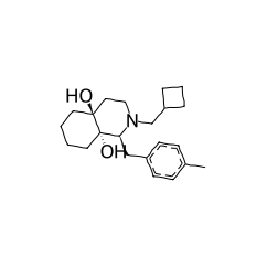 Cc1ccc(C[C@@H]2N(CC3CCC3)CC[C@@]3(O)CCCC[C@]23O)cc1